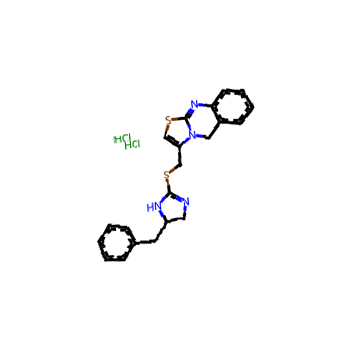 C1=C(CSC2=NCC(Cc3ccccc3)N2)N2Cc3ccccc3N=C2S1.Cl.Cl